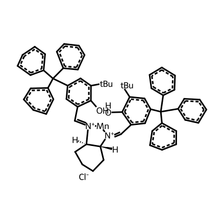 CC(C)(C)c1cc(C(c2ccccc2)(c2ccccc2)c2ccccc2)cc(C=[N+]2[Mn][N+](=Cc3cc(C(c4ccccc4)(c4ccccc4)c4ccccc4)cc(C(C)(C)C)c3O)[C@@H]3CCCC[C@H]32)c1O.[Cl-]